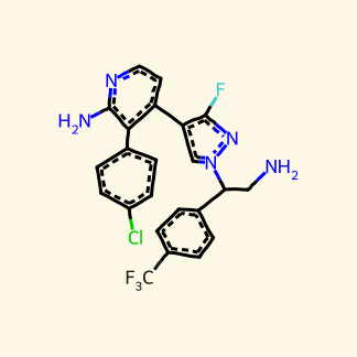 NCC(c1ccc(C(F)(F)F)cc1)n1cc(-c2ccnc(N)c2-c2ccc(Cl)cc2)c(F)n1